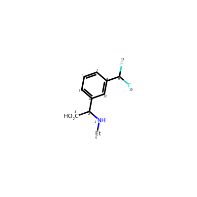 CCNC(C(=O)O)c1cccc(C(F)F)c1